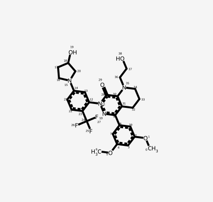 COc1cc(OC)cc(-c2nn(-c3cc(N4CCC(O)C4)ccc3C(F)(F)F)c(=O)c3c2CCCN3CCO)c1